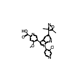 COc1cc(C(=O)O)ncc1-c1cn(-c2ccncc2Cl)c2ncc(-c3c(C)noc3C)cc12